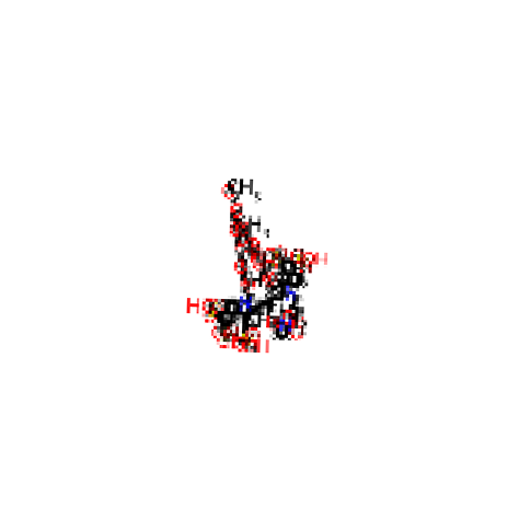 COCCOCCOCCOCCOCCOCCN1c2ccc3c(S(=O)(=O)O)cc(S(=O)(=O)O)cc3c2C(C)(CCCS(=O)(=O)O)C1/C=C/C(C)=C/C=C1/N(CCCC(=O)ON2C(=O)CCC2=O)c2ccc3c(S(=O)(=O)O)cc(S(=O)(=O)O)cc3c2C1(C)CCOCCOCCOCCOC